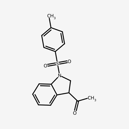 CC(=O)C1CN(S(=O)(=O)c2ccc(C)cc2)c2ccccc21